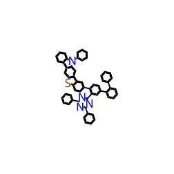 c1ccc(-c2nc(-c3ccccc3)nc(-c3cc(-c4ccccc4-c4ccccc4)ccc3-c3ccc4sc5cc6c7ccccc7n(-c7ccccc7)c6cc5c4c3)n2)cc1